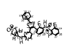 O=S1(=O)C[C@@H]2C(Nc3nccc(-c4sc(C56CCC(CC5)CC6)nc4-c4cccc(NS(=O)(=O)c5c(F)cccc5F)c4F)n3)[C@@H]2C1